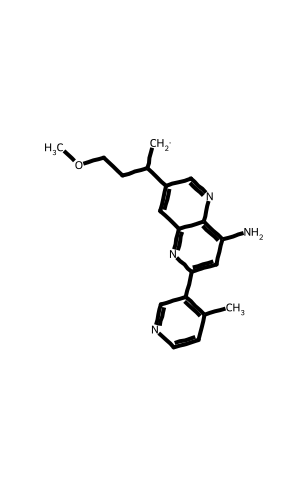 [CH2]C(CCOC)c1cnc2c(N)cc(-c3cnccc3C)nc2c1